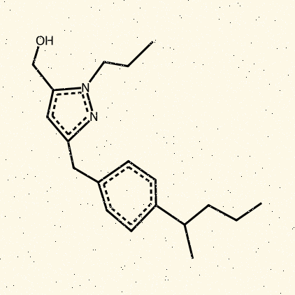 CCCC(C)c1ccc(Cc2cc(CO)n(CCC)n2)cc1